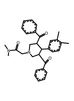 Cc1ccc(C2C(C(=O)c3ccccc3)CN(CC(=O)N(C)C)CC2C(=O)c2ccccc2)cc1C